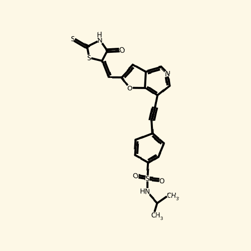 CC(C)NS(=O)(=O)c1ccc(C#Cc2cncc3cc(/C=C4/SC(=S)NC4=O)oc23)cc1